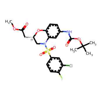 COC(=O)C[C@H]1CN(S(=O)(=O)c2ccc(F)c(Cl)c2)c2cc(NC(=O)OC(C)(C)C)ccc2O1